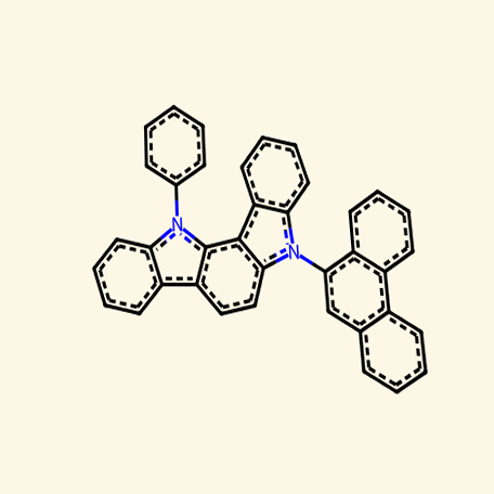 c1ccc(-n2c3ccccc3c3ccc4c(c5ccccc5n4-c4cc5ccccc5c5ccccc45)c32)cc1